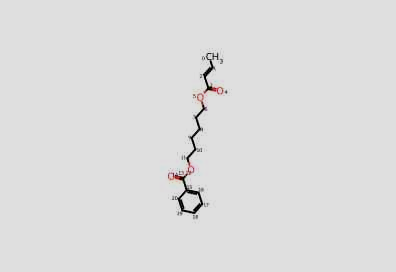 CC=CC(=O)OCCCCCCOC(=O)c1ccccc1